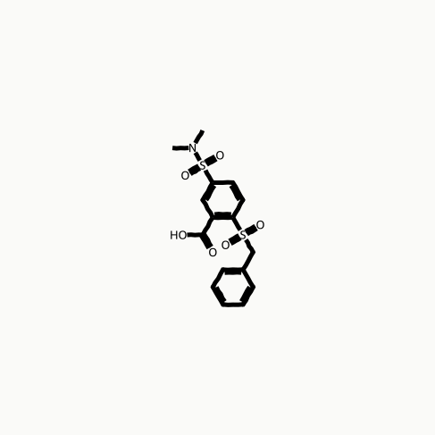 CN(C)S(=O)(=O)c1ccc(S(=O)(=O)Cc2ccccc2)c(C(=O)O)c1